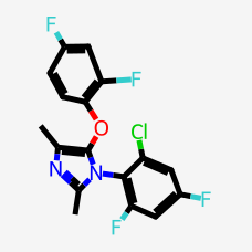 Cc1nc(C)n(-c2c(F)cc(F)cc2Cl)c1Oc1ccc(F)cc1F